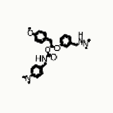 COc1ccc(CC(OC(=O)NCc2ccc(N(C)C)cc2)Oc2cccc(CNN(C)C)c2)cc1